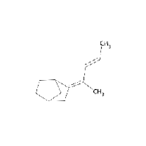 C/C=C/C(C)=C1/C=C2CCC1C2